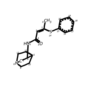 CC(=CC(=O)NC1CN2CCC1CC2)Sc1ccccc1